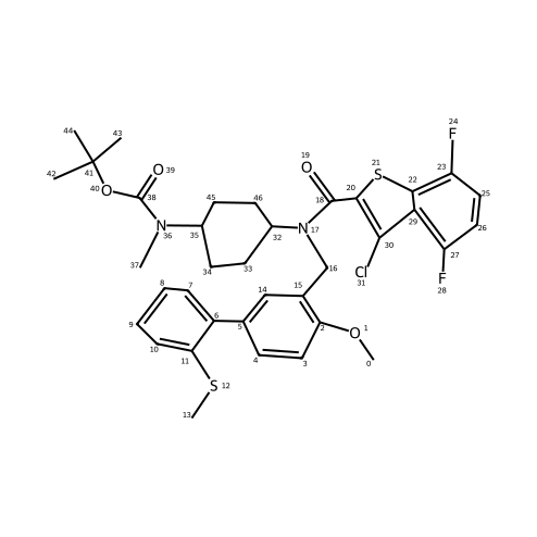 COc1ccc(-c2ccccc2SC)cc1CN(C(=O)c1sc2c(F)ccc(F)c2c1Cl)C1CCC(N(C)C(=O)OC(C)(C)C)CC1